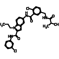 CCCn1c(C(=O)Nc2cccc(Cl)c2)cc2cc(NC(=O)c3cc(CNC(=O)C(C)C)ccc3Cl)ccc21